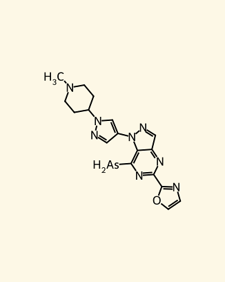 CN1CCC(n2cc(-n3ncc4nc(-c5ncco5)nc([AsH2])c43)cn2)CC1